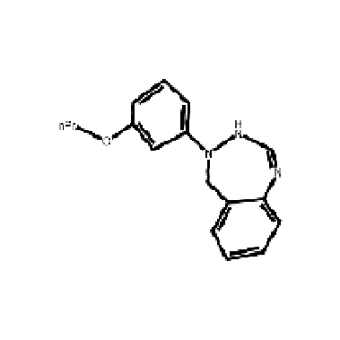 CCCOc1cccc(N2Cc3ccccc3N=CN2)c1